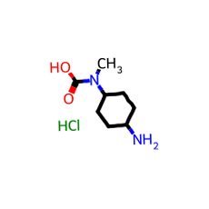 CN(C(=O)O)C1CCC(N)CC1.Cl